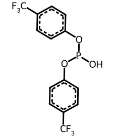 OP(Oc1ccc(C(F)(F)F)cc1)Oc1ccc(C(F)(F)F)cc1